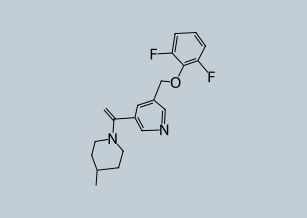 C=C(c1cncc(COc2c(F)cccc2F)c1)N1CCC(C)CC1